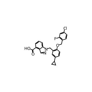 O=C(O)c1cccc2c1cnn2Cc1cc(C2CC2)ccc1OCc1ccc(Cl)cc1F